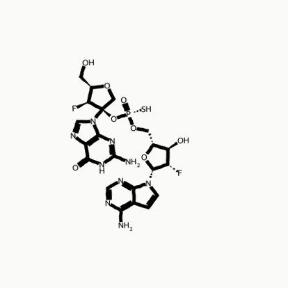 Nc1nc2c(ncn2[C@@]2(O[P@](=O)(S)OC[C@H]3O[C@@H](n4ccc5c(N)ncnc54)[C@@H](F)[C@@H]3O)CO[C@H](CO)[C@@H]2F)c(=O)[nH]1